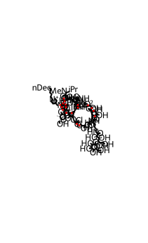 CCCCCCCCCCCCCC[n+]1ccc(CN[C@]2(C)C[C@H](OC3C(O)[C@@H](C)[C@@H](CO)O[C@@H]3Oc3c4cc5cc3Oc3ccc(cc3Cl)[C@@H](O)CC(=O)N[C@H](C(=O)NCCCNC(=O)[C@H](O)[C@@H](O)[C@H](OC3OC(CO)C(O)C(O)C3O)[C@H](O)CO)c3cc(O)cc(O)c3-c3cc(ccc3O)[C@H](C(N)=O)NC(=O)[C@@H]5NC(=O)[C@H](CC(N)=O)NC(=O)[C@H](NC(=O)[C@@H](CC(C)C)NC)[C@H](O)c3ccc(c(Cl)c3)O4)OC(C)[C@@H]2O)cc1